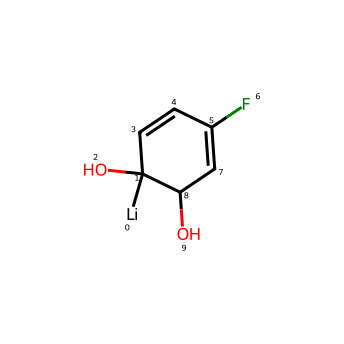 [Li][C]1(O)C=CC(F)=CC1O